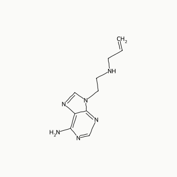 C=CCNCCn1cnc2c(N)ncnc21